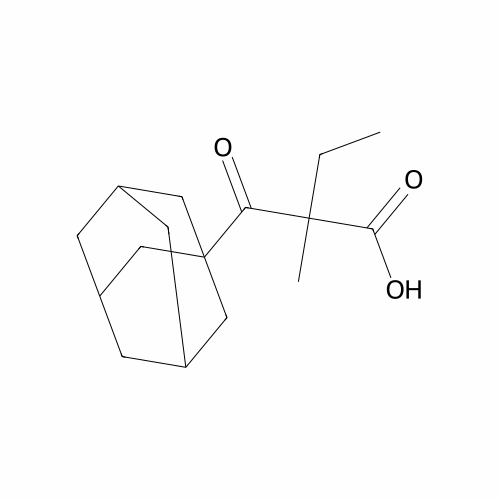 CCC(C)(C(=O)O)C(=O)C12CC3CC(CC(C3)C1)C2